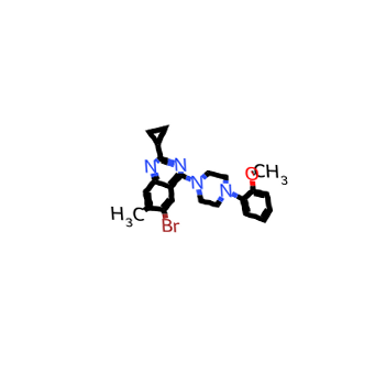 COc1ccccc1N1CCN(c2nc(C3CC3)nc3cc(C)c(Br)cc23)CC1